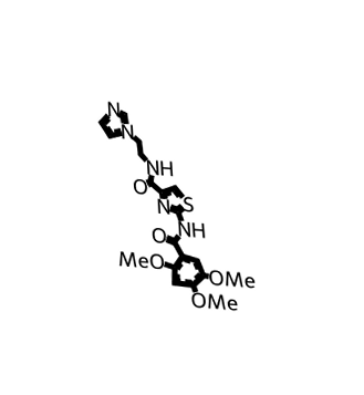 COc1cc(OC)c(C(=O)Nc2nc(C(=O)NCCn3ccnc3)cs2)cc1OC